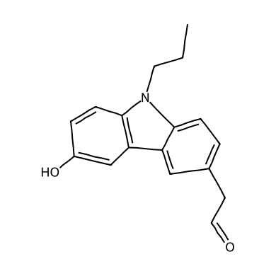 CCCn1c2ccc(O)cc2c2cc(CC=O)ccc21